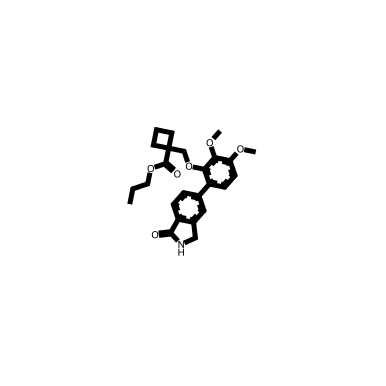 CCCOC(=O)C1(COc2c(-c3ccc4c(c3)CNC4=O)ccc(OC)c2OC)CCC1